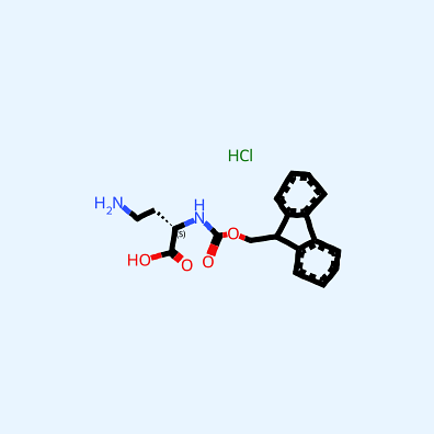 Cl.NCC[C@H](NC(=O)OCC1c2ccccc2-c2ccccc21)C(=O)O